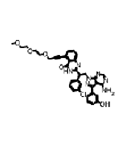 COCCOCCOCC#Cc1cccc2nc(C(Cn3nc(-c4cccc(O)c4)c4c(N)ncnc43)c3cccc(Cl)c3)[nH]c(=O)c12